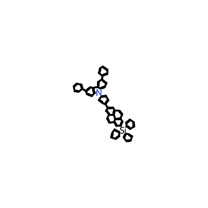 c1ccc(-c2ccc3c(c2)c2cc(-c4ccccc4)ccc2n3-c2ccc(-c3cc4ccc5cc([Si](c6ccccc6)(c6ccccc6)c6ccccc6)cc6ccc(c3)c4c56)cc2)cc1